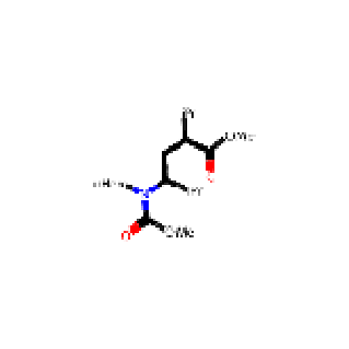 CCCCCCN(C(=O)OC)C(CC(C(=O)OC)C(C)C)C(C)C